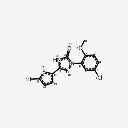 COc1ccc(Cl)cc1-n1nc(-c2ccc(I)s2)[nH]c1=O